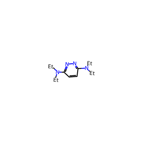 CCN(CC)c1ccc(N(CC)CC)nn1